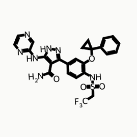 NC(=O)c1c(-c2ccc(NS(=O)(=O)CC(F)(F)F)c(OC3(c4ccccc4)CC3)c2)n[nH]c1Nc1cnccn1